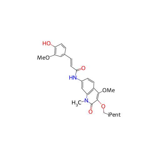 CCCC(C)COc1c(OC)c2ccc(NC(=O)/C=C/c3ccc(O)c(OC)c3)cc2n(C)c1=O